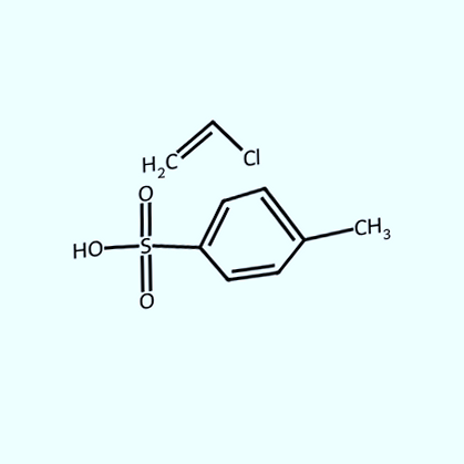 C=CCl.Cc1ccc(S(=O)(=O)O)cc1